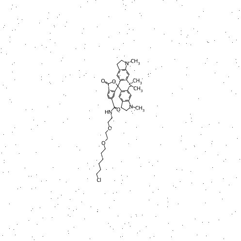 CN1CCc2cc3c(cc21)S(C)(C)c1cc2c(cc1C31OC(=O)c3ccc(C(=O)NCCOCCOCCCCCCCl)cc31)CCN2C